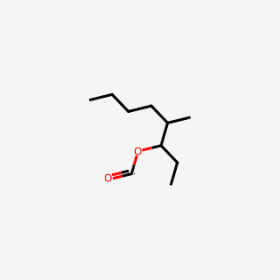 CCCCC(C)C(CC)O[C]=O